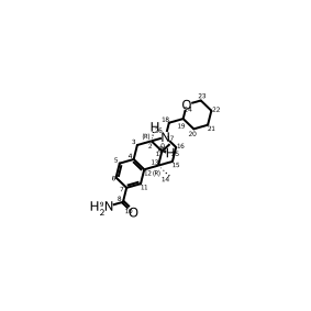 C[C@H]1[C@H]2Cc3ccc(C(N)=O)cc3[C@]1(C)CCN2CC1CCCCO1